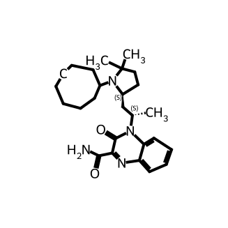 C[C@@H](C[C@@H]1CCC(C)(C)N1C1CCCCCCC1)n1c(=O)c(C(N)=O)nc2ccccc21